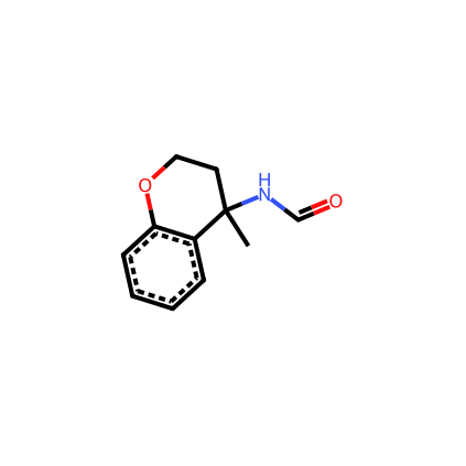 CC1(NC=O)CCOc2ccccc21